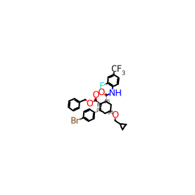 O=C(OCc1ccccc1)[C@@H]1[C@@H](c2ccc(Br)cc2)C[C@@H](OCC2CC2)C[C@H]1C(=O)Nc1ccc(C(F)(F)F)cc1F